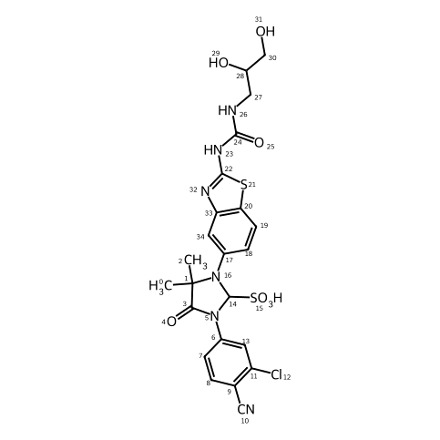 CC1(C)C(=O)N(c2ccc(C#N)c(Cl)c2)C(S(=O)(=O)O)N1c1ccc2sc(NC(=O)NCC(O)CO)nc2c1